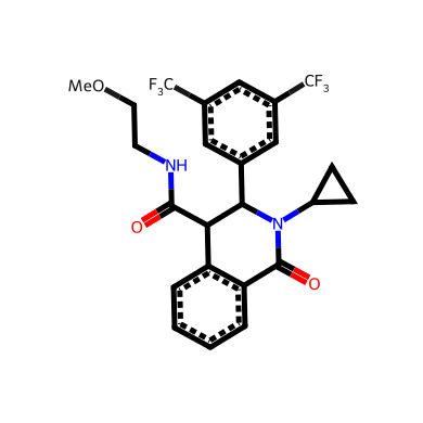 COCCNC(=O)C1c2ccccc2C(=O)N(C2CC2)C1c1cc(C(F)(F)F)cc(C(F)(F)F)c1